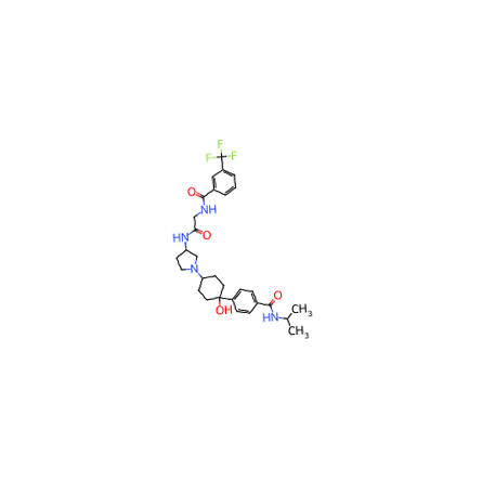 CC(C)NC(=O)c1ccc(C2(O)CCC(N3CC[C@@H](NC(=O)CNC(=O)c4cccc(C(F)(F)F)c4)C3)CC2)cc1